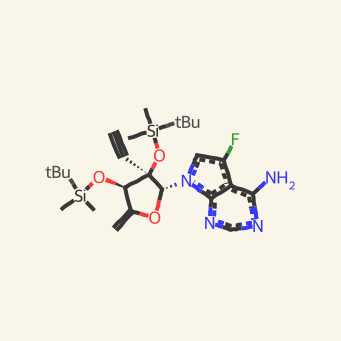 C#C[C@@]1(O[Si](C)(C)C(C)(C)C)[C@H](O[Si](C)(C)C(C)(C)C)C(=C)O[C@H]1n1cc(F)c2c(N)ncnc21